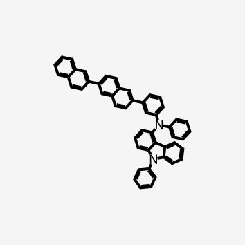 c1ccc(N(c2cccc(-c3ccc4cc(-c5ccc6ccccc6c5)ccc4c3)c2)c2cccc3c2c2ccccc2n3-c2ccccc2)cc1